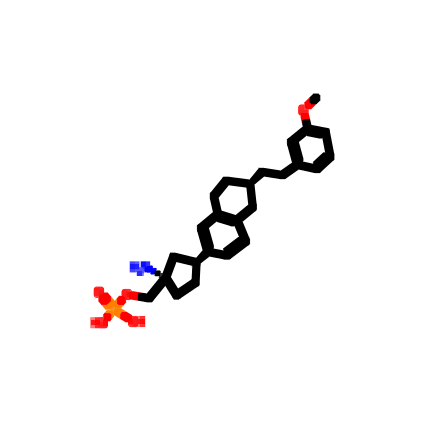 COc1cccc(CC[C@@H]2CCc3cc([C@H]4CC[C@@](N)(COP(=O)(O)O)C4)ccc3C2)c1